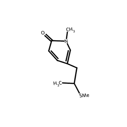 CSC(C)Cc1ccc(=O)n(C)c1